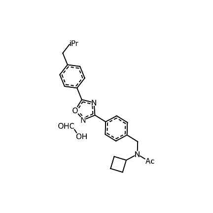 CC(=O)N(Cc1ccc(-c2noc(-c3ccc(CC(C)C)cc3)n2)cc1)C1CCC1.O=CO